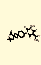 CCCCN1C(=O)C(=C(N)N)C(=O)N(C2CCC3(CC2)CC2(C3)CC(C)(C)OC2=O)C1=O